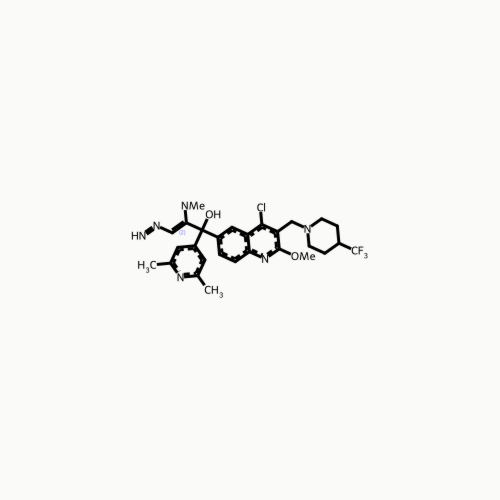 CN/C(=C\N=N)C(O)(c1cc(C)nc(C)c1)c1ccc2nc(OC)c(CN3CCC(C(F)(F)F)CC3)c(Cl)c2c1